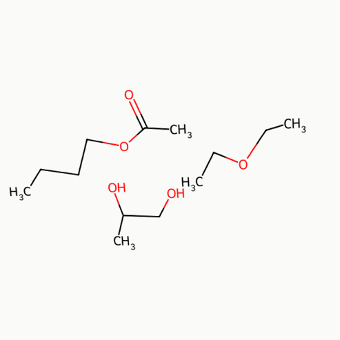 CC(O)CO.CCCCOC(C)=O.CCOCC